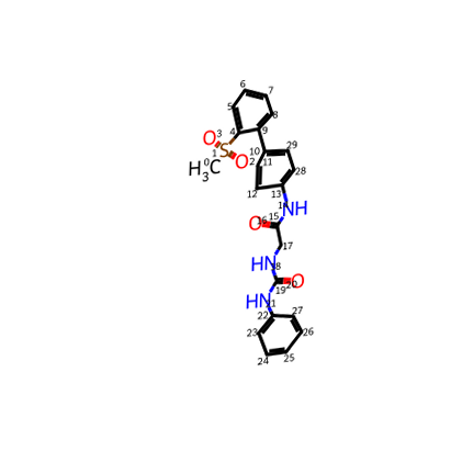 CS(=O)(=O)c1ccccc1-c1ccc(NC(=O)CNC(=O)Nc2ccccc2)cc1